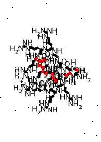 CN[C@@H](CSC)C(=O)N[C@@H](C)C(=O)NCC(=O)N[C@H](CCCNC(=N)N)C(=O)N[C@H](CCCNC(=N)N)C(=O)N[C@H](CCCNC(=N)N)C(=O)N[C@H](CCCNC(=N)N)C(=O)N[C@H](CCCNC(=N)N)C(=O)N[C@H](CCCNC(=N)N)C(=O)N[C@H](CCCNC(=N)N)C(=O)N[C@H](CCCNC(=N)N)C(=O)N[C@H](CCCNC(=N)N)C(=O)N[C@H](CS)C(N)=O